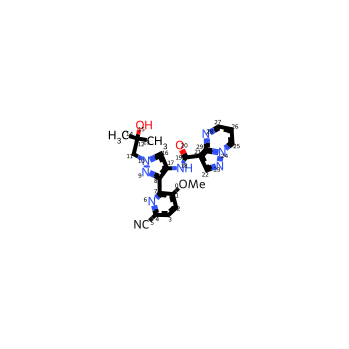 COc1ccc(C#N)nc1-c1nn(CC(C)(C)O)cc1NC(=O)c1cnn2cccnc12